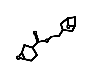 O=C(OCCC1CC2CC(C1)O2)C1CCC2OC2C1